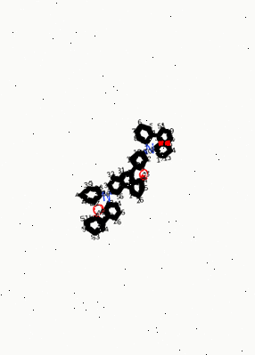 c1ccc(-c2ccccc2N(c2ccccc2)c2ccc3c(c2)Oc2cccc4c2c-3cc2ccc(N(c3ccccc3)c3cccc5c3oc3ccccc35)cc24)cc1